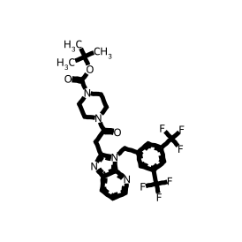 CC(C)(C)OC(=O)N1CCN(C(=O)Cc2nc3cccnc3n2Cc2cc(C(F)(F)F)cc(C(F)(F)F)c2)CC1